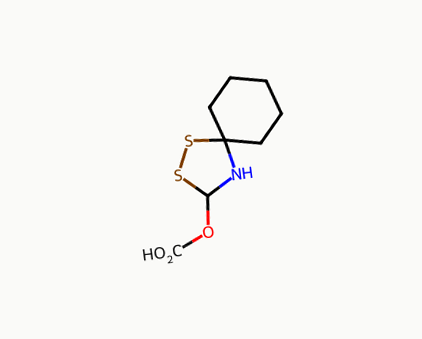 O=C(O)OC1NC2(CCCCC2)SS1